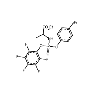 CCOC(=O)C(C)NP(=O)(Oc1ccc(C(C)C)cc1)Oc1c(F)c(F)c(F)c(F)c1F